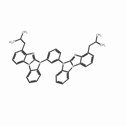 CC(C)Cc1cccc2c1nc1n(-c3cccc(-n4c5ccccc5n5c6cccc(CC(C)C)c6nc45)c3)c3ccccc3n21